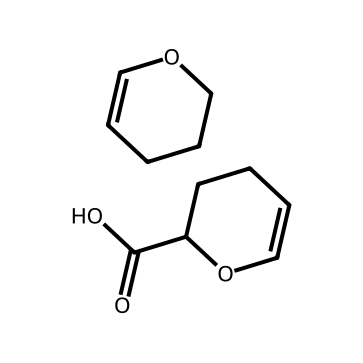 C1=COCCC1.O=C(O)C1CCC=CO1